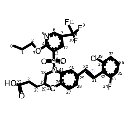 CCCOc1ncc(C(F)(F)F)cc1S(=O)(=O)N1C[C@H](CCC(=O)O)Oc2ccc(/C=C/c3c(F)cccc3Cl)cc21